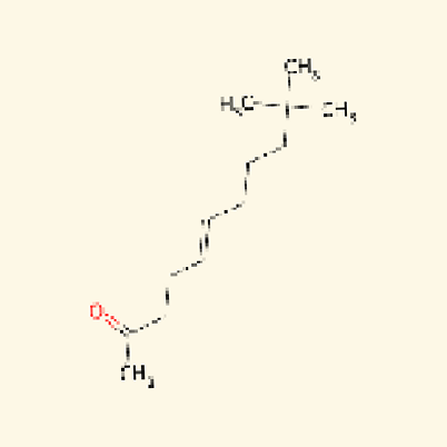 CC(=O)CCC=CCCCC(C)(C)C